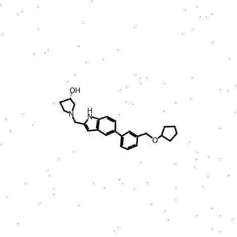 O[C@H]1CCN(Cc2cc3cc(-c4cccc(COC5CCCC5)c4)ccc3[nH]2)C1